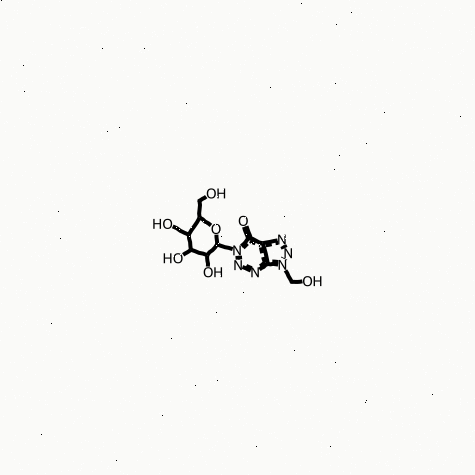 O=c1c2nnn(CO)c2nnn1C1OC(CO)C(O)C(O)C1O